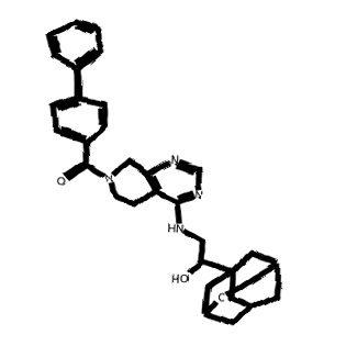 O=C(c1ccc(-c2ccccc2)cc1)N1CCc2c(ncnc2NCC(O)C23CC4CC(CC(C4)C2)C3)C1